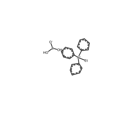 CC[N+](c1ccccc1)(c1ccccc1)c1ccccc1.[O-]B(O)O